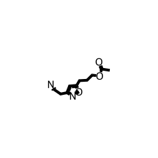 CC(=O)OCCCc1cc(CC#N)no1